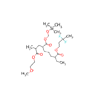 CCC(CCCC(CC(C)C(=O)OCCOC)C(=O)OCO[Si](C)(C)C)C(=O)OCCC(C)(F)F